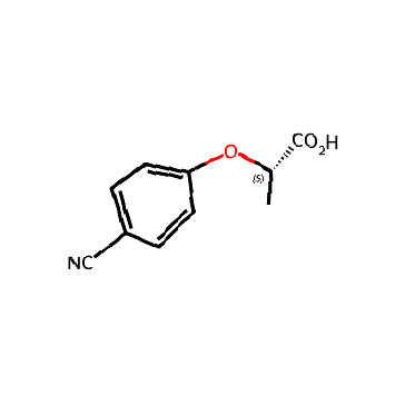 C[C@H](Oc1ccc(C#N)cc1)C(=O)O